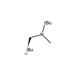 CC[C@H](C)CN(C)C(C)(C)C